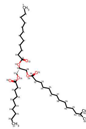 CCCCCCCCCCCC(=O)O[C@@H](COC(=O)CCCCCCCCC)COC(=O)CCCCCCCCCCCC(C)C